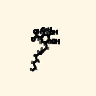 CCCCCC#CCc1cc(C(=O)O)[c]([GeH3])c(O)c1O